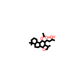 CC(O)CCC1C(OC(C)O)C2C(CCC3C2CCCC3(C)C)C2OCC(C)C12